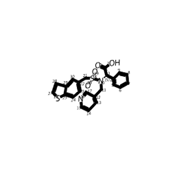 O=C(O)[C@H](c1ccccc1)N(Cc1cccnc1)S(=O)(=O)Cc1ccc2sccc2c1